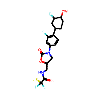 O=C1OC(CNC(=O)C(F)(F)S)CN1c1ccc(C2CCC(O)C(F)C2)c(F)c1